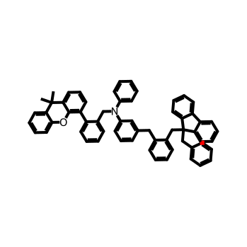 CC1(C)c2ccccc2Oc2c(-c3ccccc3CN(c3ccccc3)c3cccc(Cc4ccccc4CC4(Cc5ccccc5)c5ccccc5-c5ccccc54)c3)cccc21